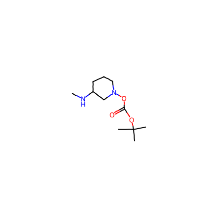 CNC1CCCN(OC(=O)OC(C)(C)C)C1